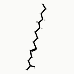 [CH2]C(C)CCC=CCCCCCCCCC